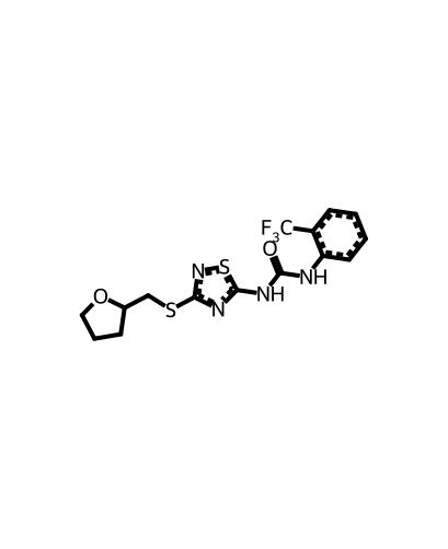 O=C(Nc1nc(SCC2CCCO2)ns1)Nc1ccccc1C(F)(F)F